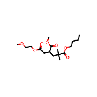 CCCCOC(=O)C(C)(C)CC(CC(=O)OCCOC)C(=O)OC